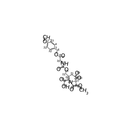 COc1ccc(COC(=O)CNC(=O)OCC2=C(C(=O)O)N3C(=O)[C@@H](OC)C3S(=O)(=O)C2)cc1